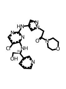 O=C(Cn1cc(Nc2ncc(Cl)c(N[C@H](CO)c3cccnc3)n2)cn1)N1CCOCC1